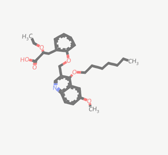 CCCCCCCOc1c(COc2ccccc2CC(OCC)C(=O)O)cnc2ccc(OC)cc12